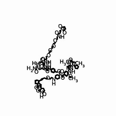 CC[C@@H]1C(=O)N(C)c2cnc(Nc3ccc(C(=O)N(C(=O)OCc4ccc(NC(=O)[C@H](CCCNC(N)=O)NC(=O)[C@@H](NC(=O)CCOCCOCCOCCOCCNC(=O)CCN5C(=O)C=CC5=O)C(C)C)cc4)[C@H]4CC[C@@H](NCCOCCC#Cc5cccc6c5CN(C5CCC(=O)NC5=O)C6=O)CC4)cc3OC)nc2N1C1CCCC1